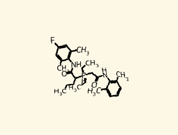 CCCC(C(=O)Nc1c(C)cc(F)cc1C)[PH](CC)(CC)CC(=O)Nc1c(C)cccc1C